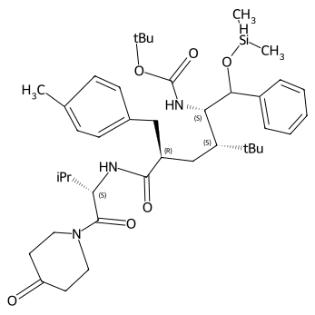 Cc1ccc(C[C@@H](C[C@H]([C@H](NC(=O)OC(C)(C)C)C(O[SiH](C)C)c2ccccc2)C(C)(C)C)C(=O)N[C@H](C(=O)N2CCC(=O)CC2)C(C)C)cc1